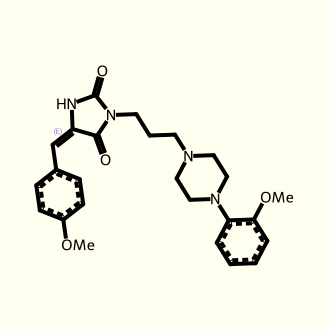 COc1ccc(/C=C2/NC(=O)N(CCCN3CCN(c4ccccc4OC)CC3)C2=O)cc1